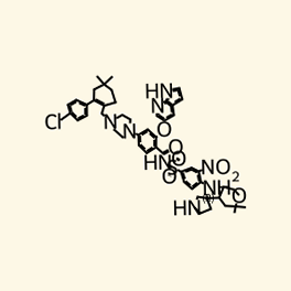 CC1(C)CCC(CN2CCN(c3ccc(C(=O)NS(=O)(=O)c4ccc(N[C@@]5(C6CCOC(C)(C)C6)CCNC5)c([N+](=O)[O-])c4)c(Oc4cnc5[nH]ccc5c4)c3)CC2)=C(c2ccc(Cl)cc2)C1